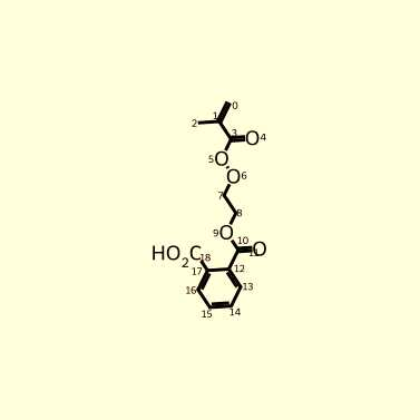 C=C(C)C(=O)OOCCOC(=O)c1ccccc1C(=O)O